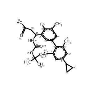 Cc1cc(-c2c(C)cc(C3CC3)cc2C)cc(C(CC(=O)O)NC(=O)OC(C)(C)C)c1F